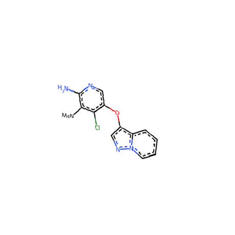 CNc1c(N)ncc(Oc2cnn3ccccc23)c1Cl